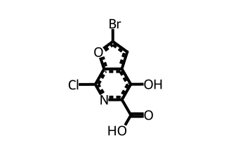 O=C(O)c1nc(Cl)c2oc(Br)cc2c1O